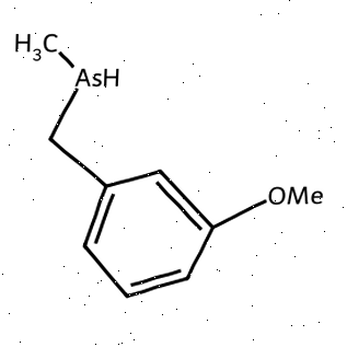 COc1cccc(C[AsH]C)c1